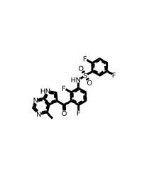 Cc1ncnc2[nH]cc(C(=O)c3c(F)ccc(NS(=O)(=O)c4cc(F)ccc4F)c3F)c12